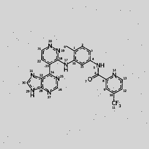 Cc1ccc(NC(=O)c2cc(C(F)(F)F)ccn2)cc1Nc1nnccc1-c1ncnc2[nH]cnc12